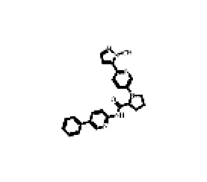 Cn1nccc1-c1ccc(N2CCCC2C(=O)Nc2ccc(-c3ccccc3)cn2)cn1